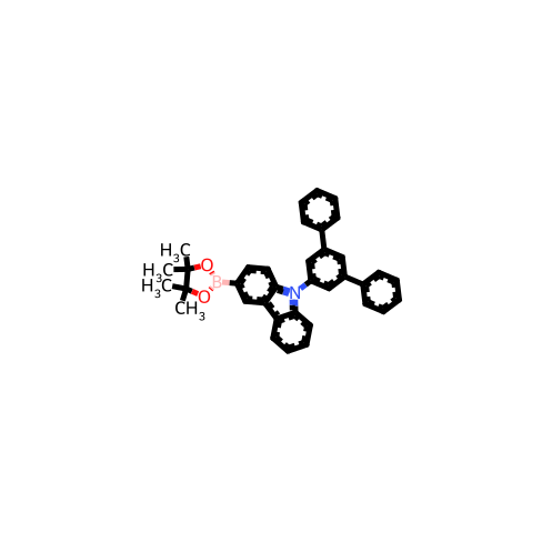 CC1(C)OB(c2ccc3c(c2)c2ccccc2n3-c2cc(-c3ccccc3)cc(-c3ccccc3)c2)OC1(C)C